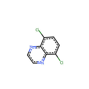 Clc1ccc(Cl)c2nccnc12